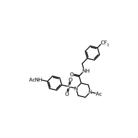 CC(=O)Nc1ccc(S(=O)(=O)N2CCN(C(C)=O)CC2C(=O)NCc2ccc(C(F)(F)F)cc2)cc1